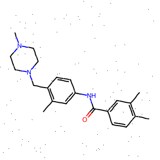 Cc1ccc(C(=O)Nc2ccc(CN3CCN(C)CC3)c(C)c2)cc1C